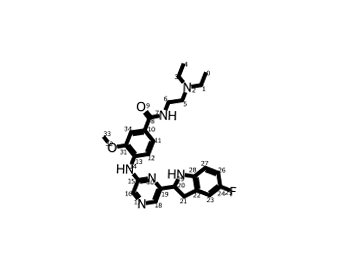 CCN(CC)CCNC(=O)c1ccc(Nc2cncc(C3Cc4cc(F)ccc4N3)n2)c(OC)c1